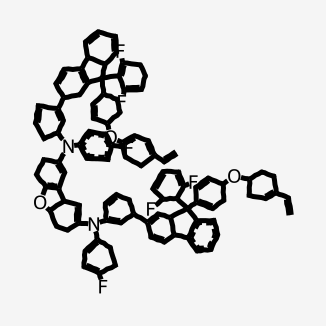 C=CC1=CC=C(OC2C=CC(C3(C4=C(F)CCC=C4F)C4=C(C=CC(C5=CC(N(C6=CC7=C(CC6)OC6CCC(N(C8=CC(C9=CC%10C(C=C9)c9ccccc9C%10(C9=CCC(OC%10CC=C(C=C)CC%10)C=C9)C9C(F)=CC=CC9F)CC=C8)C8=CC=C(F)CC8)=CC76)c6ccc(F)cc6)CC=C5)C4)C4C=CC=CC43)CC2)CC1